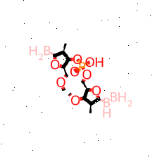 BB[C@@H]1O[C@H](COP(=O)(O)OC2[C@@H](COC)O[C@@H](B)[C@H]2C)C(OC)[C@@H]1C